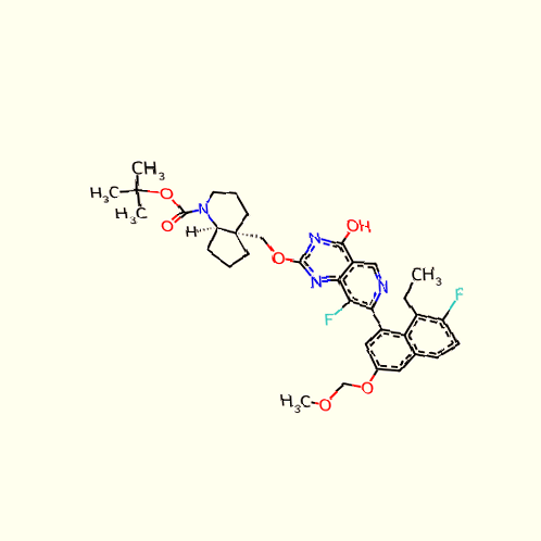 CCc1c(F)ccc2cc(OCOC)cc(-c3ncc4c(O)nc(OC[C@]56CCC[C@H]5N(C(=O)OC(C)(C)C)CCC6)nc4c3F)c12